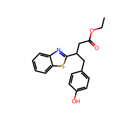 CCOC(=O)CC(Cc1ccc(O)cc1)c1nc2ccccc2s1